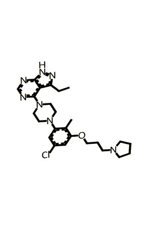 CCc1n[nH]c2ncnc(N3CCN(c4cc(Cl)cc(OCCCN5CCCC5)c4C)CC3)c12